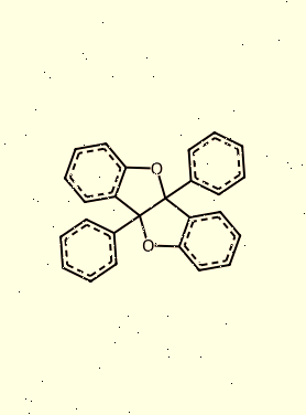 c1ccc(C23Oc4ccccc4C2(c2ccccc2)Oc2ccccc23)cc1